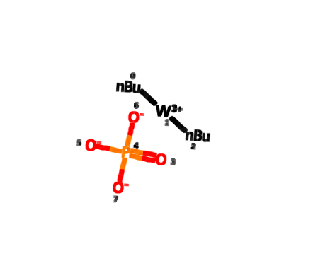 CCC[CH2][W+3][CH2]CCC.O=P([O-])([O-])[O-]